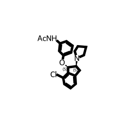 CC(=O)Nc1cccc(O[C@H]2c3c(Cl)cccc3C[C@@H]2N2CCCC2)c1